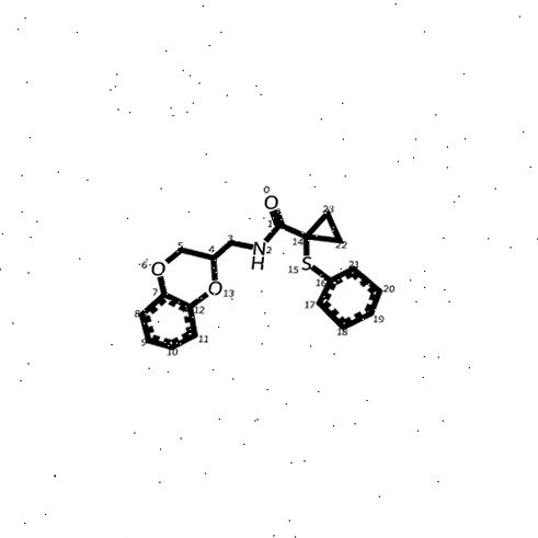 O=C(NCC1COc2ccccc2O1)C1(Sc2ccccc2)CC1